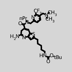 CCCN(Cc1ccc(CN(C)C)c(C(F)(F)F)n1)C(=O)C1=Cc2sc(CCCCCNC(=O)OC(C)(C)C)cc2N=C(N)C1